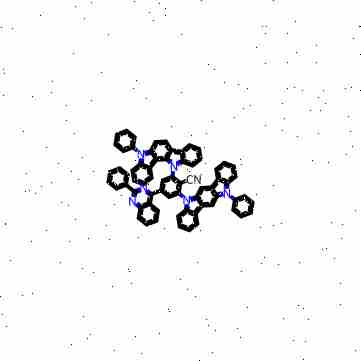 N#Cc1c(-n2c3ccccc3c3cc4c(cc32)c2ccccc2n4-c2ccccc2)cc(-c2nc(-c3ccccc3)nc3ccccc23)cc1-n1c2ccccc2c2ccc3c(c4ccccc4n3-c3ccccc3)c21